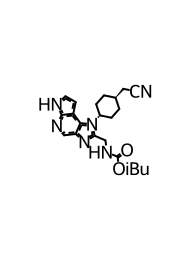 CC(C)COC(=O)NCc1nc2cnc3[nH]ccc3c2n1[C@H]1CC[C@H](CC#N)CC1